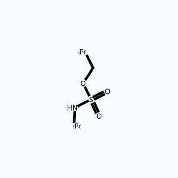 CC(C)COS(=O)(=O)NC(C)C